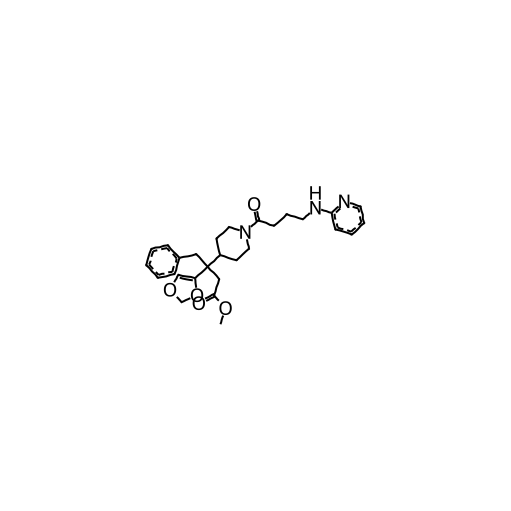 COC(=O)CC(Cc1ccccc1)(C1=COCO1)C1CCN(C(=O)CCCNc2ccccn2)CC1